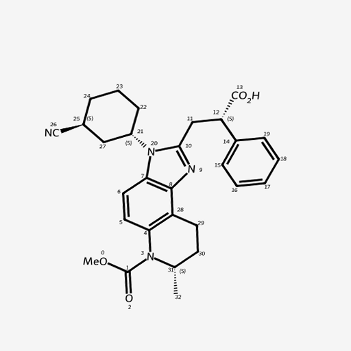 COC(=O)N1c2ccc3c(nc(C[C@H](C(=O)O)c4ccccc4)n3[C@H]3CCC[C@H](C#N)C3)c2CC[C@@H]1C